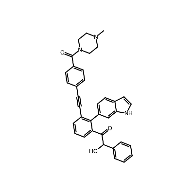 CN1CCN(C(=O)c2ccc(C#Cc3cccc(C(=O)C(O)c4ccccc4)c3-c3ccc4cc[nH]c4c3)cc2)CC1